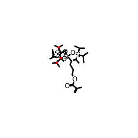 C=C(C)C(=O)OCCCC[Si](O[Si](C(C)C)(C(C)C)C(C)C)(O[Si](C(C)C)(C(C)C)C(C)C)O[Si](C(C)C)(C(C)C)C(C)C